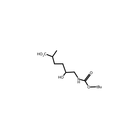 CC(CCC(O)CNC(=O)OC(C)(C)C)C(=O)O